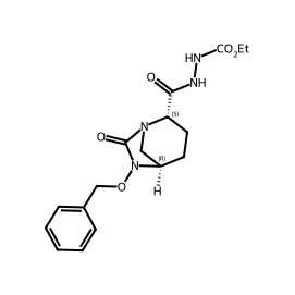 CCOC(=O)NNC(=O)[C@@H]1CC[C@@H]2CN1C(=O)N2OCc1ccccc1